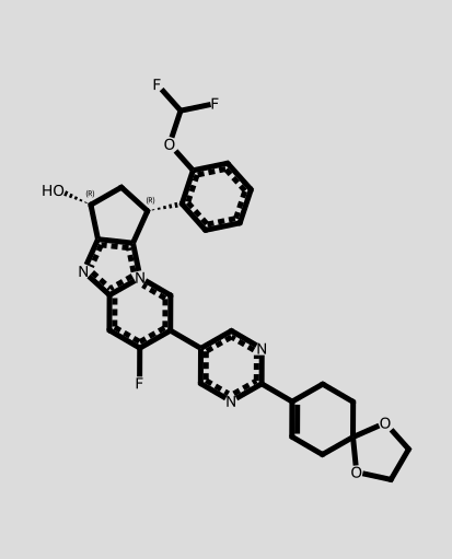 O[C@@H]1C[C@H](c2ccccc2OC(F)F)c2c1nc1cc(F)c(-c3cnc(C4=CCC5(CC4)OCCO5)nc3)cn21